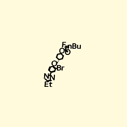 CCCC[C@H](F)C(=O)O[C@H]1CC[C@H](COc2ccc(-c3ncc(CC)cn3)cc2Br)CC1